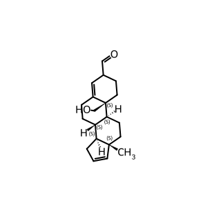 C[C@@]12C=CC[C@H]1[C@@H]1CCC3=CC(C=O)CC[C@]3(CO)[C@H]1CC2